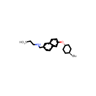 CC(C)(C)[C@H]1CC[C@H](Oc2ccc3cc(CNCCS(=O)(=O)O)ccc3c2)CC1